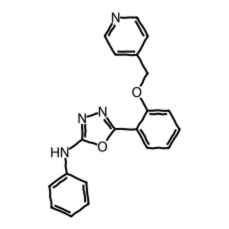 c1ccc(Nc2nnc(-c3ccccc3OCc3ccncc3)o2)cc1